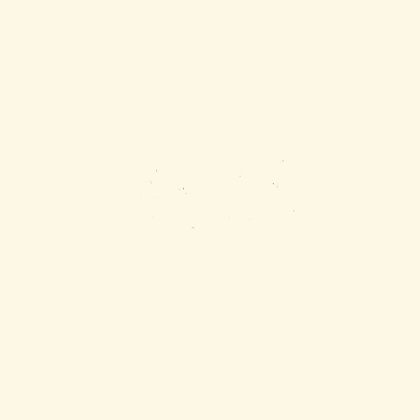 CCC1=CC=C(P(=O)(O)O)C(=S)C1c1ccc([N+](=O)[O-])cc1